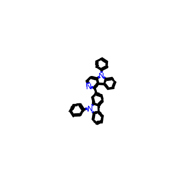 c1ccc(-n2c3ccccc3c3ccc(-c4nccc5c4c4ccccc4n5-c4ccccc4)cc32)cc1